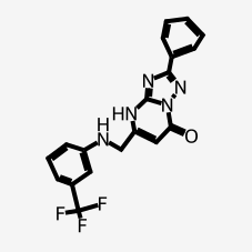 O=c1cc(CNc2cccc(C(F)(F)F)c2)[nH]c2nc(-c3ccccc3)nn12